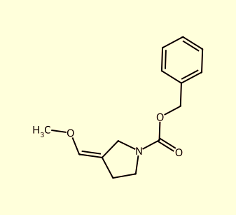 COC=C1CCN(C(=O)OCc2ccccc2)C1